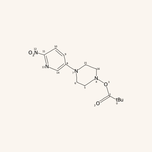 CC(C)(C)C(=O)ON1CCN(c2ccc([N+](=O)[O-])nc2)CC1